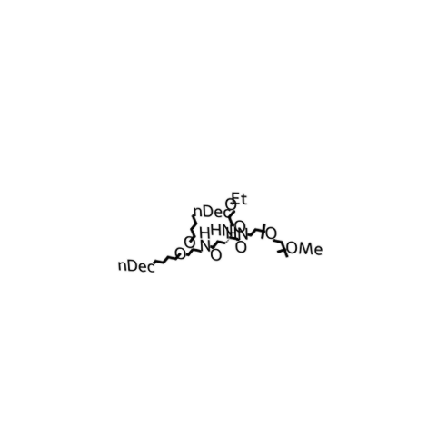 CCCCCCCCCCCCCCOCC(CNC(=O)CC[C@H](NC(=O)CCOCC)C(=O)NCCC(C)(C)OCCC(C)(C)OC)OCCCCCCCCCCCCCC